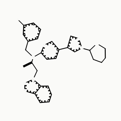 O=C(Cn1nnc2ccccc21)N(Cc1cccc(Cl)c1)c1ccc(-c2cnn(C3CCCCO3)c2)cn1